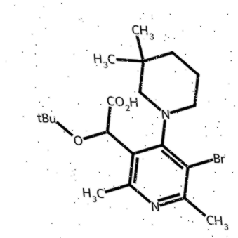 Cc1nc(C)c(C(OC(C)(C)C)C(=O)O)c(N2CCCC(C)(C)C2)c1Br